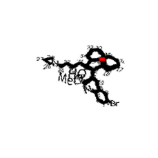 COc1nc2ccc(Br)cc2cc1C(c1ccccc1)C(O)(CCCCN1CCC1)c1ccccc1